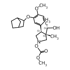 COC(=O)ON1C[C@@H](c2ccc(OC)c(OC3CC4CCC3C4)c2)[C@](C)([C@H](C)O)C1